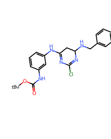 CC(C)(C)OC(=O)Nc1cccc(NC2=NC(Cl)=NC(NCc3ccccc3)C2)c1